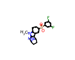 Cn1c2c(c3cc(S(=O)(=O)c4cc(F)cc(F)c4)ccc31)C1CCC(C2)N1